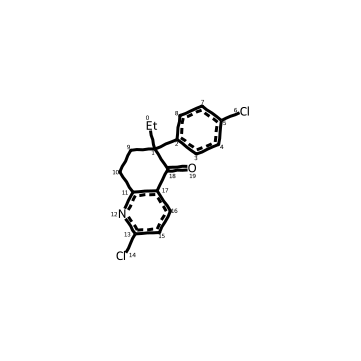 CCC1(c2ccc(Cl)cc2)CCc2nc(Cl)ccc2C1=O